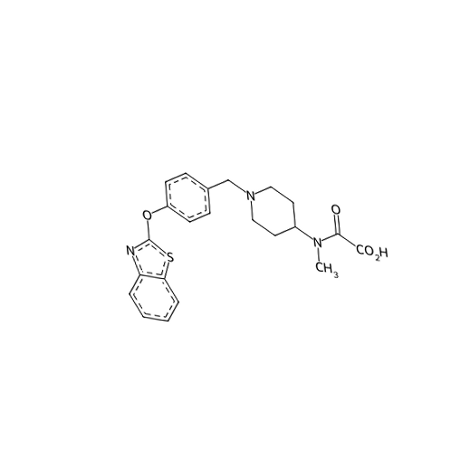 CN(C(=O)C(=O)O)C1CCN(Cc2ccc(Oc3nc4ccccc4s3)cc2)CC1